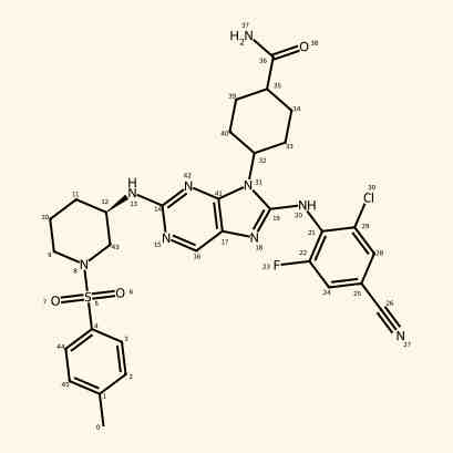 Cc1ccc(S(=O)(=O)N2CCC[C@@H](Nc3ncc4nc(Nc5c(F)cc(C#N)cc5Cl)n(C5CCC(C(N)=O)CC5)c4n3)C2)cc1